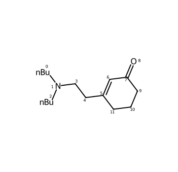 CCCCN(CCCC)CCC1=CC(=O)CCC1